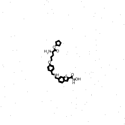 N[C@@H](CCCOc1ccc(CNCc2ccc3cc(C(=O)NO)sc3c2)cc1)C(=O)OC1CCCC1